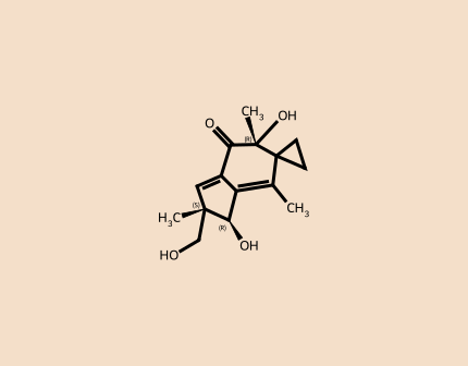 CC1=C2C(=C[C@@](C)(CO)[C@@H]2O)C(=O)[C@](C)(O)C12CC2